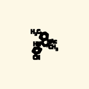 CC(=O)N1c2ccc(C)cc2[C@H](Nc2ccc(C#N)cc2)C[C@@H]1C